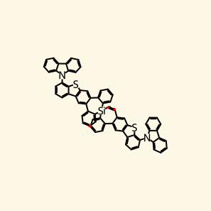 c1ccc2c(c1)-c1cc3sc4c(-n5c6ccccc6c6ccccc65)cccc4c3cc1-c1ccccc1[Si]21c2ccccc2-c2cc3sc4c(-n5c6ccccc6c6ccccc65)cccc4c3cc2-c2ccccc21